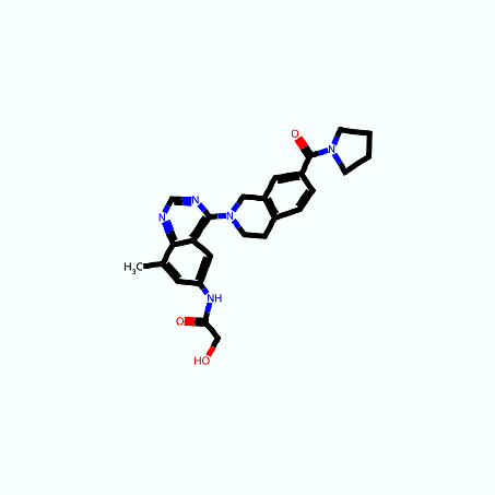 Cc1cc(NC(=O)CO)cc2c(N3CCc4ccc(C(=O)N5CCCC5)cc4C3)ncnc12